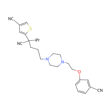 CC(C)C(C#N)(CCCN1CCN(CCOc2cccc(C#N)c2)CC1)c1cc(C#N)cs1